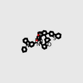 c1ccc(-c2nc(-c3ccc4c(c3)c3ccccc3n4-c3ccccc3)nc(-c3cccc4oc5ccc(-c6c(-c7ccc8c(c7)sc7ccccc78)ccc7sc8ccccc8c67)cc5c34)n2)cc1